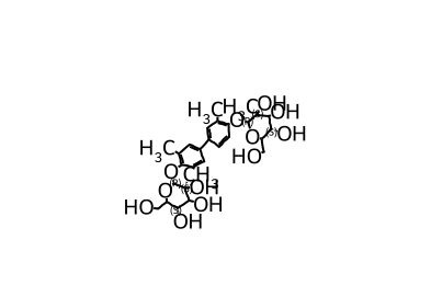 Cc1cc(-c2ccc(O[C@H]3OC(CO)[C@@H](O)C(O)[C@]3(C)O)c(C)c2)ccc1O[C@H]1OC(CO)[C@@H](O)C(O)[C@]1(C)O